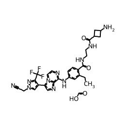 CCc1cc(Nc2nccn3c(-c4cn(CC#N)nc4C(F)(F)F)cnc23)ccc1C(=O)NCCNC(=O)C1CC(N)C1.O=CO